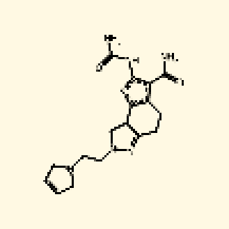 NC(=O)Nc1sc2c(c1C(N)=O)CCC1=NN(CCN3CC=CC3)CC12